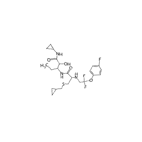 CCC(NC(=O)C(CSCC1CC1)NCC(F)(F)Oc1ccc(F)cc1)C(O)C(=O)NC1CC1